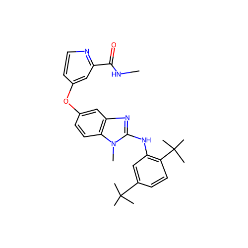 CNC(=O)c1cc(Oc2ccc3c(c2)nc(Nc2cc(C(C)(C)C)ccc2C(C)(C)C)n3C)ccn1